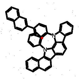 c1ccc(-n2c3c4ccccc4ccc3c3ccc4c5ccccc5n(-c5ccc(-c6ccc7ccccc7c6)cc5)c4c32)cc1